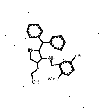 CCCc1ccc(OC)c(CNC2C(CCO)CNC2C(c2ccccc2)c2ccccc2)c1